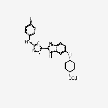 O=C(O)[C@H]1CC[C@@H](Oc2ccc3nc(-c4nnc(Nc5ccc(F)cc5)o4)[nH]c3c2)CC1